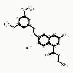 CCCC(=N)c1cc(C)nc2cc(OCc3cc(OC)cc(OC)c3)ccc12.Cl